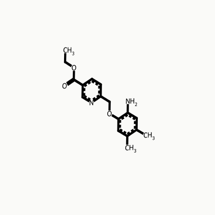 CCOC(=O)c1ccc(COc2cc(C)c(C)cc2N)nc1